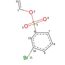 C=COS(=O)(=O)c1cccc(Br)c1